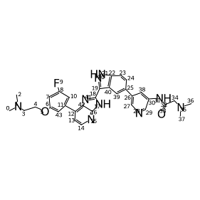 CN(C)CCOc1cc(F)cc(-c2ccnc3[nH]c(-c4n[nH]c5ccc(-c6cncc(NC(=O)CN(C)C)c6)cc45)nc23)c1